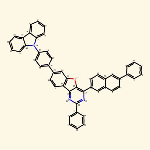 c1ccc(-c2ccc3cc(-c4nc(-c5ccccc5)nc5c4oc4cc(-c6ccc(-n7c8ccccc8c8ccccc87)cc6)ccc45)ccc3c2)cc1